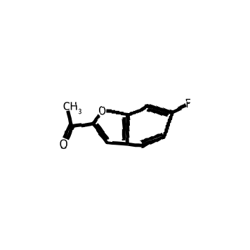 CC(=O)c1cc2ccc(F)cc2o1